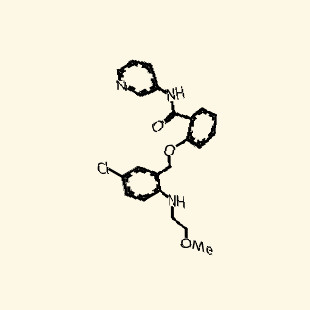 COCCNc1ccc(Cl)cc1COc1ccccc1C(=O)Nc1cccnc1